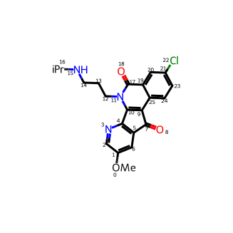 COc1cnc2c(c1)C(=O)c1c-2n(CCCNC(C)C)c(=O)c2cc(Cl)ccc12